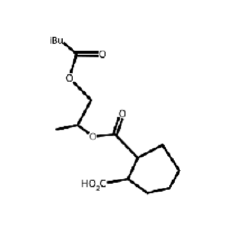 CCC(C)C(=O)OCC(C)OC(=O)C1CCCCC1C(=O)O